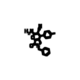 Cc1ccc(C2C(C#N)=C(N)OC3=C2CN(Cc2ccccc2)C3=O)cc1